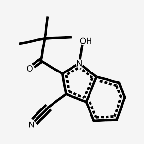 CC(C)(C)C(=O)c1c(C#N)c2ccccc2n1O